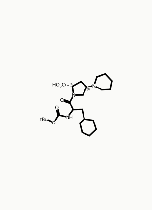 CC(C)(C)OC(=O)NC(CC1CCCCC1)C(=O)N1C[C@H](N2CCCCC2)C[C@H]1C(=O)O